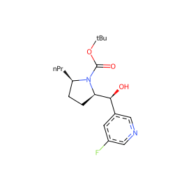 CCC[C@@H]1CC[C@H]([C@@H](O)c2cncc(F)c2)N1C(=O)OC(C)(C)C